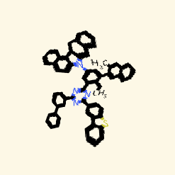 CCc1c(-c2nc(-c3cccc(-c4ccccc4)c3)nc(-c3ccc4sc5ccccc5c4c3)n2)cc(-n2c3cc4ccccc4cc3c3c4ccccc4ccc32)cc1-c1cc2ccccc2cc1C